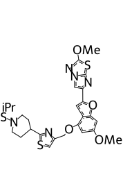 COc1cc(OCc2csc(C3CCN(SC(C)C)CC3)n2)c2cc(-c3cn4nc(OC)sc4n3)oc2c1